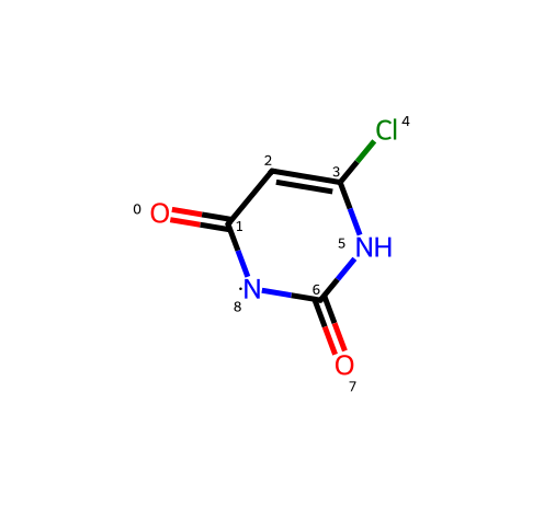 O=C1C=C(Cl)NC(=O)[N]1